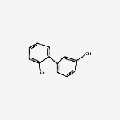 CC(C)c1ccccc1-c1cccc(C#N)c1